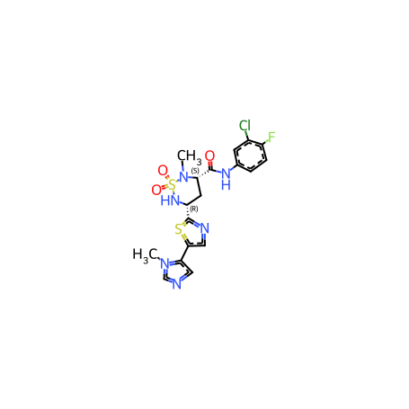 CN1[C@H](C(=O)Nc2ccc(F)c(Cl)c2)C[C@H](c2ncc(-c3cncn3C)s2)NS1(=O)=O